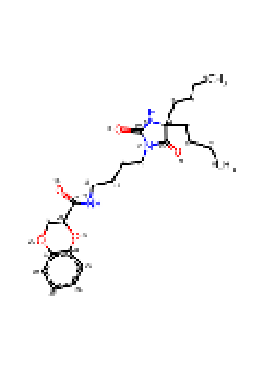 CCCCC1(CCCC)NC(=O)N(CCCCNC(=O)C2COc3ccccc3O2)C1=O